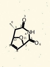 C[C@@H]1C(=O)NC(=O)C2C=CC1O2